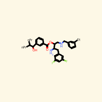 CCCC(CCC)C(O)c1cccc(C(=O)OC(CNCc2cccc(CC)c2)C(N)Cc2cc(F)cc(F)c2)c1